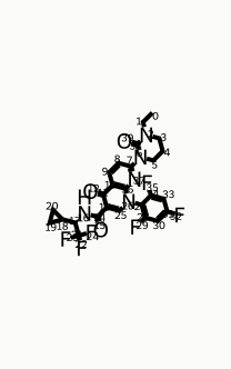 CCN1CCCN(c2ccc3c(=O)c(C(=O)N[C@@H](C4CC4)C(F)(F)F)cn(-c4c(F)cc(F)cc4F)c3n2)C1=O